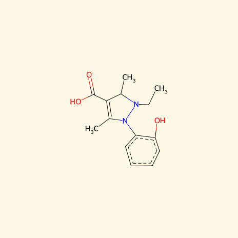 CCN1C(C)C(C(=O)O)=C(C)N1c1ccccc1O